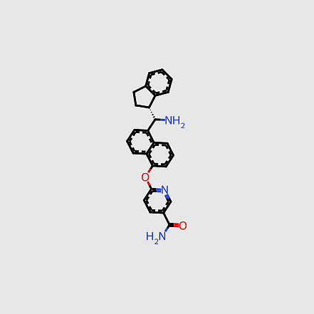 NC(=O)c1ccc(Oc2cccc3c(C(N)[C@@H]4CCc5ccccc54)cccc23)nc1